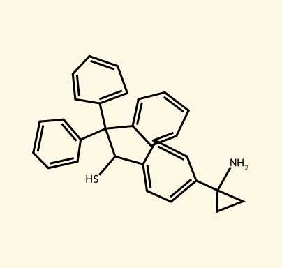 NC1(c2ccc(C(S)C(c3ccccc3)(c3ccccc3)c3ccccc3)cc2)CC1